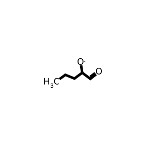 CCCC([O])C=O